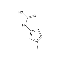 Cn1ccc(NC(=O)O)c1